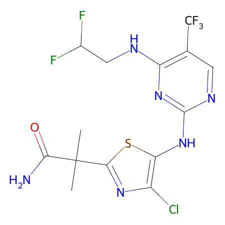 CC(C)(C(N)=O)c1nc(Cl)c(Nc2ncc(C(F)(F)F)c(NCC(F)F)n2)s1